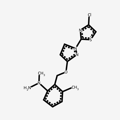 Cc1cccc(N(C)N)c1COc1ccn(-c2nc(Cl)cs2)n1